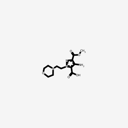 COC(=O)c1nn(CCN2CCOCC2)c(C(=O)O)c1N